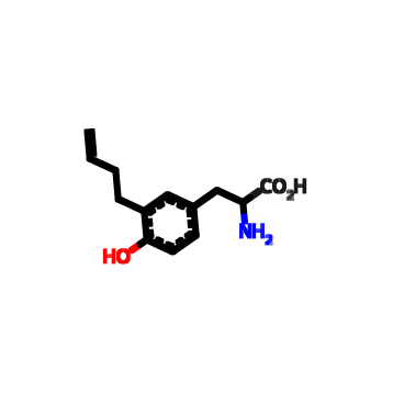 C=CCCc1cc(CC(N)C(=O)O)ccc1O